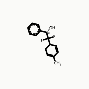 CC1=CCC(C(F)(F)[C@@H](O)c2ccccc2)C=C1